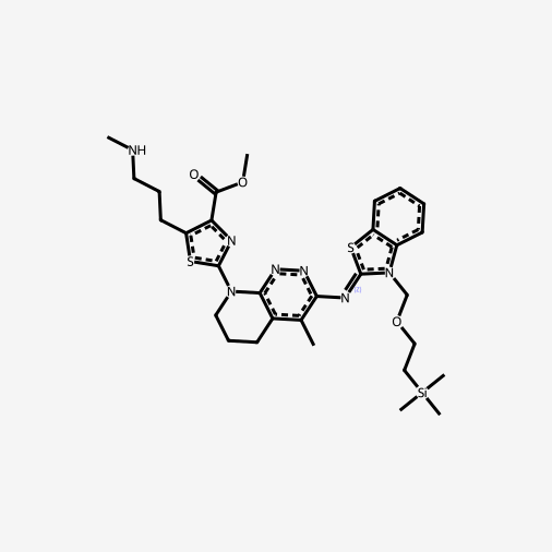 CNCCCc1sc(N2CCCc3c2nnc(/N=c2\sc4ccccc4n2COCC[Si](C)(C)C)c3C)nc1C(=O)OC